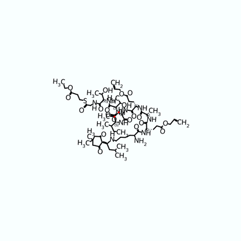 C=CCOC(=O)CC[C@H](NC(=O)C(N)CCCCNC(CC(C)C)=C1C(=O)CC(C)(C)CC1=O)C(=O)N[C@@H](C)C(=O)N[C@@H](CCC(=O)OCC=C)C(=O)N[C@@H](CC(C)=O)C(=O)N[C@H](C(=O)N[C@H](C(=O)N[C@H](C(=O)NCC(=O)SCCC(=O)OCC)C(C)O)C(C)O)C(C)CC